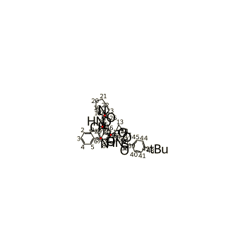 Cc1ccccc1-c1noc(C2CC2)c1COC1CC2CCC(C1)N2C(=O)Nc1cccc(C(=O)NS(=O)(=O)c2ccc(C(C)(C)C)cc2)c1